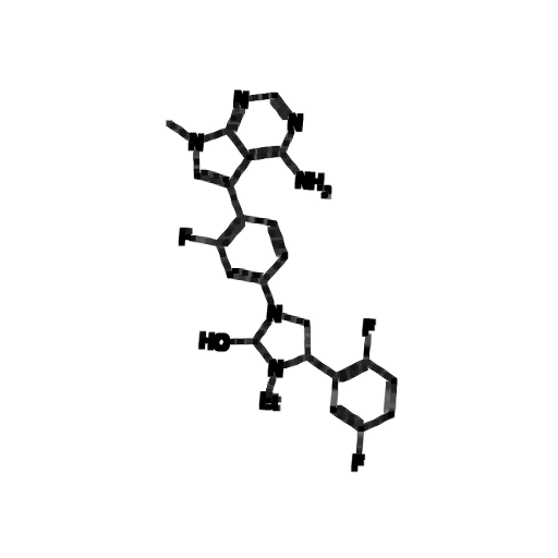 CCN1C(c2cc(F)ccc2F)CN(c2ccc(-c3cn(C)c4ncnc(N)c34)c(F)c2)C1O